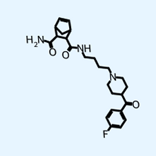 NC(=O)C1C2C=CC(C2)C1C(=O)NCCCCN1CCC(C(=O)c2ccc(F)cc2)CC1